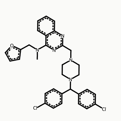 CN(Cc1ccco1)c1nc(CN2CCN(C(c3ccc(Cl)cc3)c3ccc(Cl)cc3)CC2)nc2ccccc12